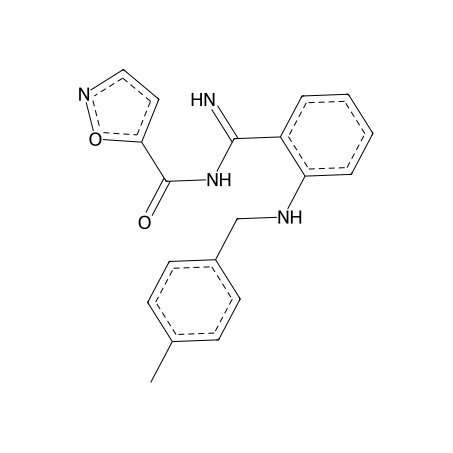 Cc1ccc(CNc2ccccc2C(=N)NC(=O)c2ccno2)cc1